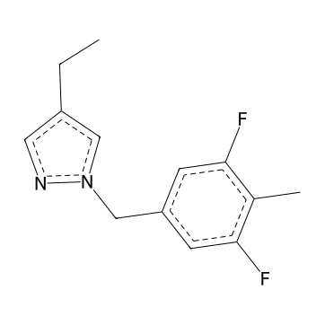 CCc1cnn(Cc2cc(F)c(C)c(F)c2)c1